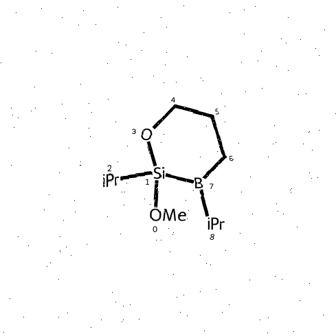 CO[Si]1(C(C)C)OCCCB1C(C)C